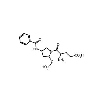 NC(CCC(=O)O)C(=O)N1CC(NC(=O)c2ccccc2)CC1OC(=O)O